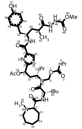 CCCC(=O)OCN(C(=O)[C@@H](NC(=O)[C@H]1CCCCCN1C)C(C)CC)[C@H](C[C@@H](OC(C)=O)c1nc(C(=O)N[C@@H](Cc2ccc(O)cc2)C[C@H](C)C(=O)NNC(=O)OC)cs1)C(C)C